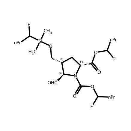 CCCC(F)OC(=O)[C@H]1C[C@@H](CO[Si](C)(C)C(F)CCC)[C@H](C=O)N1C(=O)OC(F)CCC